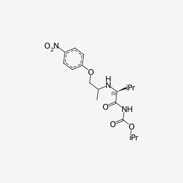 CC(COc1ccc([N+](=O)[O-])cc1)N[C@H](C(=O)NC(=O)OC(C)C)C(C)C